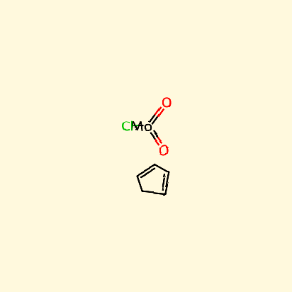 C1=CCC=C1.[O]=[Mo](=[O])[Cl]